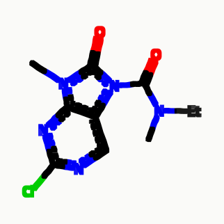 CCN(C)C(=O)n1c(=O)n(C)c2nc(Cl)ncc21